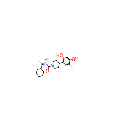 C[C@H](NC(=O)N1CCC(c2cc(F)c(O)cc2O)CC1)C1CCCCC1